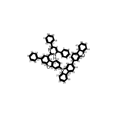 C1=C(c2ccccc2)NC(c2cc(-c3ccccc3)cc3oc4cc(-n5c6ccccc6c6ccc(-c7ccc8c(c7)oc7ccccc78)cc65)ccc4c23)N=C1c1ccccc1